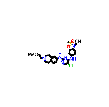 COCCN1CCc2ccc(Nc3ncc(Cl)c(N[C@H]4CC[C@@H](N(CC#N)S(C)(=O)=O)CC4)n3)cc2CC1